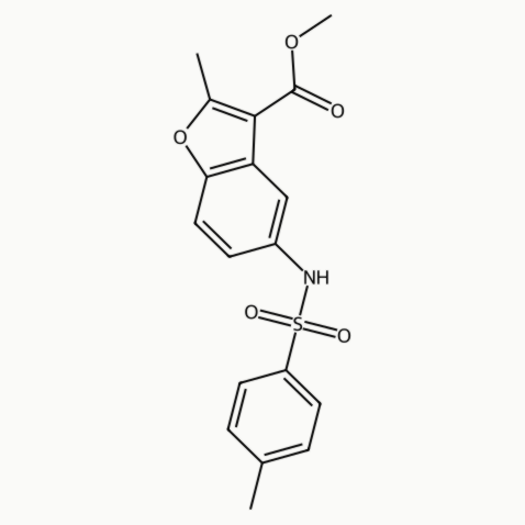 COC(=O)c1c(C)oc2ccc(NS(=O)(=O)c3ccc(C)cc3)cc12